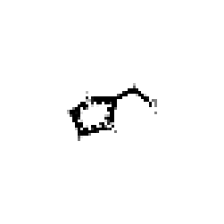 ClCc1nc[c]o1